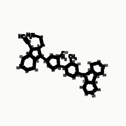 C#Cc1c(/C=C\N)n(-c2ccc(-c3ccc(-n4c5ccncc5c5cnccc54)cc3C)c(C)c2)c2ccncc12